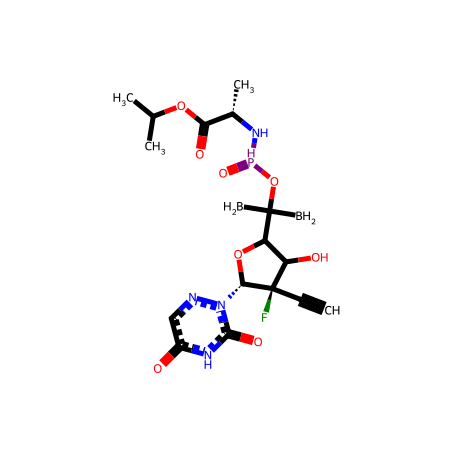 BC(B)(O[PH](=O)N[C@@H](C)C(=O)OC(C)C)C1O[C@@H](n2ncc(=O)[nH]c2=O)[C@@](F)(C#C)C1O